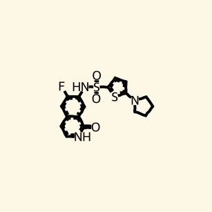 O=c1[nH]ccc2cc(F)c(NS(=O)(=O)c3ccc(N4CCCC4)s3)cc12